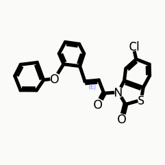 O=C(/C=C/c1ccccc1Oc1ccccc1)n1c(=O)sc2ccc(Cl)cc21